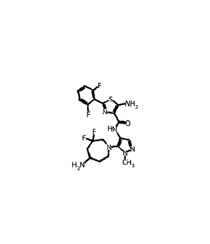 Cn1ncc(NC(=O)c2nc(-c3c(F)cccc3F)sc2N)c1N1CCC(N)CC(F)(F)C1